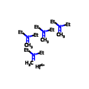 CC[NH+](C)CC.CC[NH+](C)CC.CC[NH+](C)CC.CC[NH+](C)CC.[Hf+4]